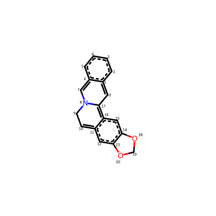 C1=c2ccccc2=CN2CC=c3cc4c(cc3=C12)OCO4